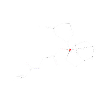 C=CC(=O)NCC(=O)OC1(C2CCCC(C)C2)C2CC3CC(C2)CC1C3